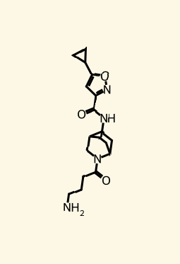 NCCCC(=O)N1CC2CCC1CC2NC(=O)c1cc(C2CC2)on1